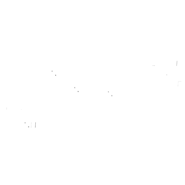 NC(=O)c1cc(N2CCN(c3cccc(C(F)(F)F)c3)CC2)nc2ccccc12